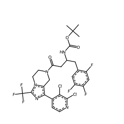 CC(C)(C)OC(=O)NC(CC(=O)N1CCn2c(C(F)(F)F)nc(-c3ccnc(Cl)c3Cl)c2C1)Cc1cc(F)c(F)cc1F